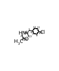 C[C@@H]1CN[C@@H](Cc2ccc(Cl)cc2)CO1